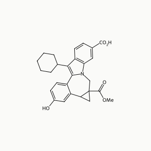 COC(=O)C12CC1c1cc(O)ccc1-c1c(C3CCCCC3)c3ccc(C(=O)O)cc3n1C2